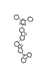 c1ccc(-c2nc(-c3ccccc3)nc(-c3ccc4c(c3)oc3ccc(-c5cccc6c5oc5cc(-n7c8ccccc8c8ccccc87)ccc56)cc34)n2)cc1